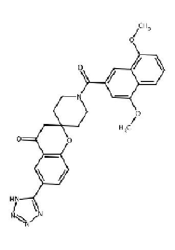 COc1cc(C(=O)N2CCC3(CC2)CC(=O)c2cc(-c4nnn[nH]4)ccc2O3)cc2c(OC)cccc12